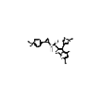 COc1ccc(C2CC2NC(=O)c2sc3nc(C)cc(C)c3c2-c2cnn(C)c2)cc1